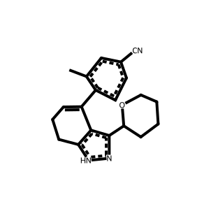 Cc1cc(C#N)ccc1C1=CCCc2[nH]nc(C3CCCCO3)c21